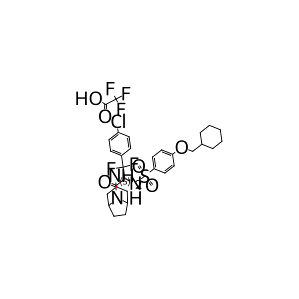 NC1CC2CCC(C1)N2C(=O)[C@H](NS(=O)(=O)c1ccc(OCC2CCCCC2)cc1)C(F)(F)c1ccc(Cl)cc1.O=C(O)C(F)(F)F